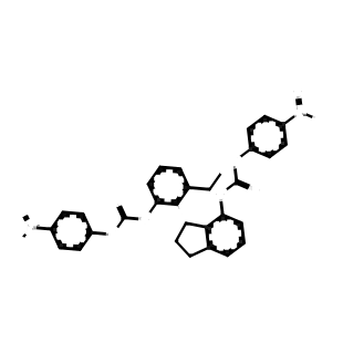 CCc1cccc(OC(=O)Oc2ccc([N+](=O)[O-])cc2)c1[C@H]1CCc2cccc(OC(=O)Oc3ccc([N+](=O)[O-])cc3)c21